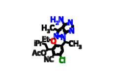 CCOc1c(C(C)n2nc(C)c3c(N)ncnc32)cc(Cl)c(C#N)c1C(CC(C)C)OC(C)=O